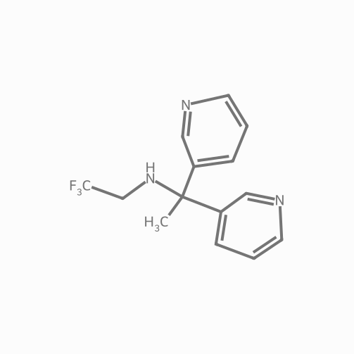 CC(NCC(F)(F)F)(c1cccnc1)c1cccnc1